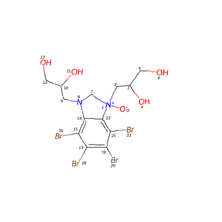 [O-][N+]1(CC(O)CO)CN(CC(O)CO)c2c(Br)c(Br)c(Br)c(Br)c21